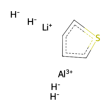 [Al+3].[H-].[H-].[H-].[H-].[Li+].c1ccsc1